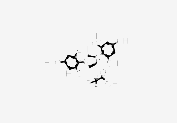 Cc1cc(C)c(N2C=CN(c3c(C)cc(C)cc3C)C2)c(C)c1.O=C(O)C(F)(F)F